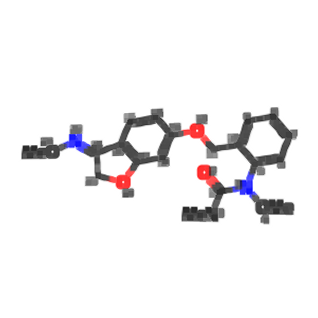 CNC(=O)N(OC)c1ccccc1COc1ccc2c(c1)OCC2=NOC